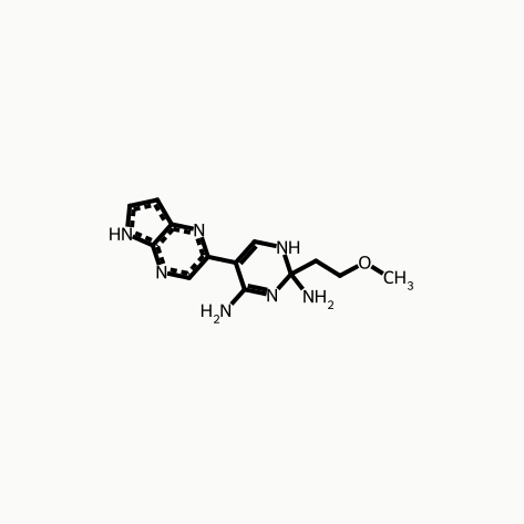 COCCC1(N)N=C(N)C(c2cnc3[nH]ccc3n2)=CN1